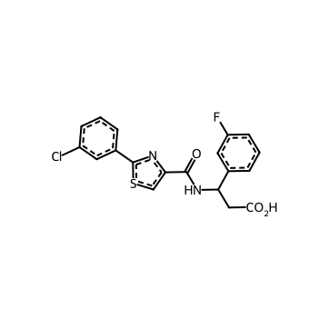 O=C(O)CC(NC(=O)c1csc(-c2cccc(Cl)c2)n1)c1cccc(F)c1